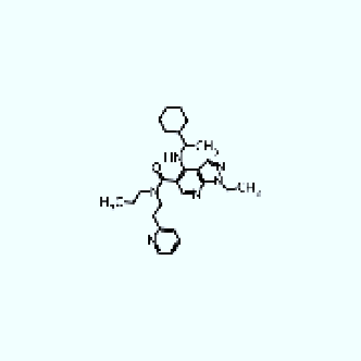 CCCN(CCc1ccccn1)C(=O)c1cnc2c(cnn2CC)c1NC(C)C1CCCCC1